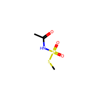 CSS(=O)(=O)NC(C)=O